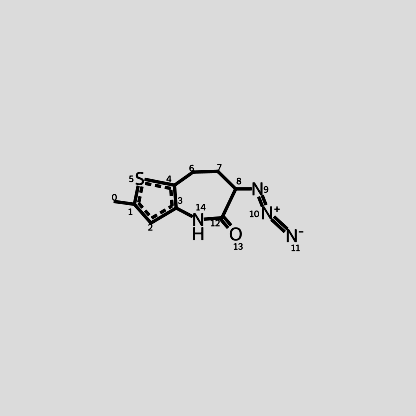 Cc1cc2c(s1)CCC(N=[N+]=[N-])C(=O)N2